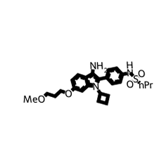 CCCS(=O)(=O)Nc1ccc(-c2c(N)c3ccc(OCCCOC)cc3n2C2CCC2)cc1